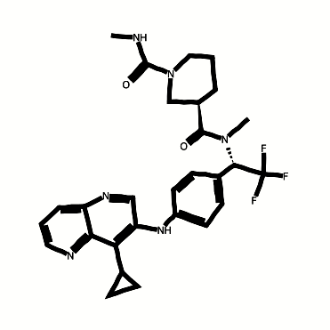 CNC(=O)N1CCC[C@@H](C(=O)N(C)[C@@H](c2ccc(Nc3cnc4cccnc4c3C3CC3)cc2)C(F)(F)F)C1